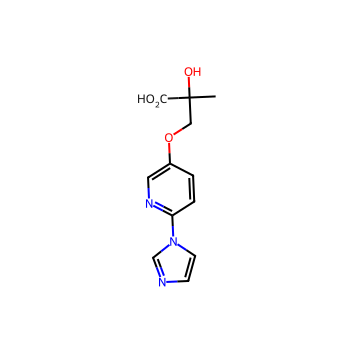 CC(O)(COc1ccc(-n2ccnc2)nc1)C(=O)O